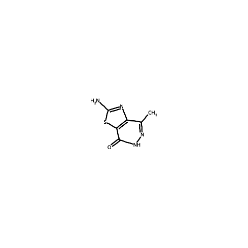 Cc1n[nH]c(=O)c2sc(N)nc12